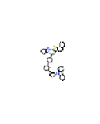 c1cc(-c2ccc(-c3cc4c5ccc6ccccc6c5sc4c4nc5ccccc5n34)cc2)cc(-c2cccc(-n3c4ccccc4c4ccccc43)c2)c1